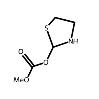 COC(=O)OC1NCCS1